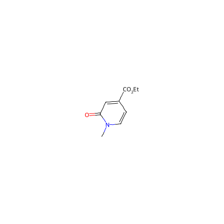 CCOC(=O)c1ccn(C)c(=O)c1